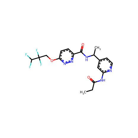 CCC(=O)Nc1cc(C(C)NC(=O)c2ccc(OCC(F)(F)C(F)F)nn2)ccn1